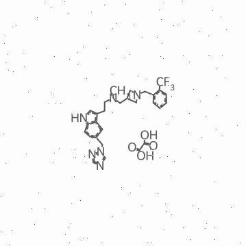 CN(CCc1c[nH]c2ccc(Cn3cncn3)cc12)CC1CN(Cc2ccccc2C(F)(F)F)C1.O=C(O)C(=O)O